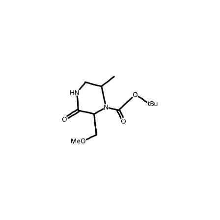 COCC1C(=O)NCC(C)N1C(=O)OC(C)(C)C